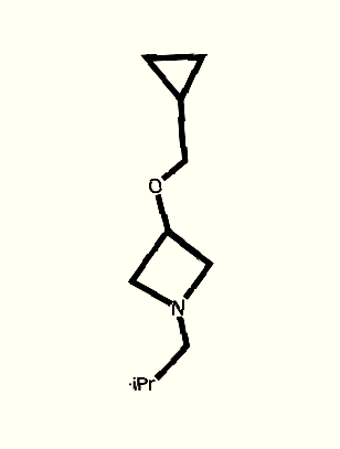 C[C](C)CN1CC(OCC2CC2)C1